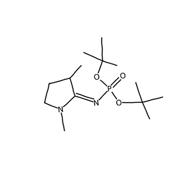 CC1CCN(C)/C1=N/P(=O)(OC(C)(C)C)OC(C)(C)C